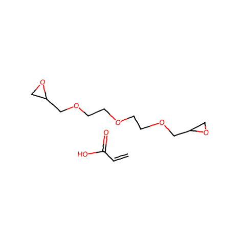 C(COCC1CO1)OCCOCC1CO1.C=CC(=O)O